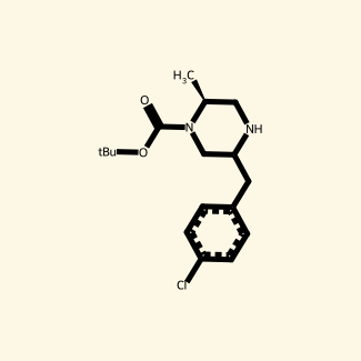 C[C@H]1CNC(Cc2ccc(Cl)cc2)CN1C(=O)OC(C)(C)C